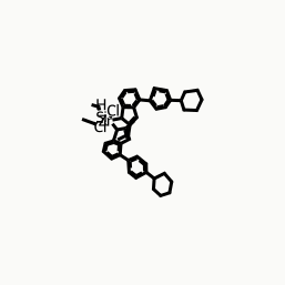 CCC1=Cc2c(-c3ccc(C4CCCCC4)cc3)cccc2[CH]1[Zr]([Cl])([Cl])([CH]1C(C)=Cc2c(-c3ccc(C4CCCCC4)cc3)cccc21)[SiH](CC)CC